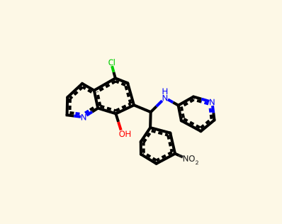 O=[N+]([O-])c1cccc(C(Nc2cccnc2)c2cc(Cl)c3cccnc3c2O)c1